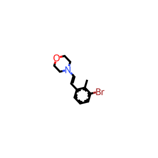 Cc1c(Br)cccc1C=CN1CCOCC1